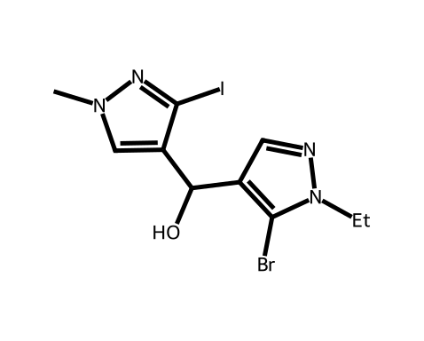 CCn1ncc(C(O)c2cn(C)nc2I)c1Br